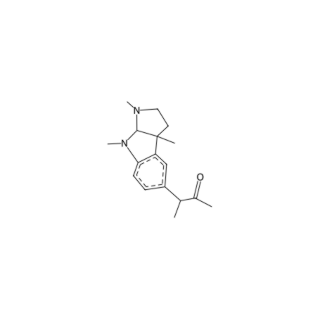 CC(=O)C(C)c1ccc2c(c1)C1(C)CCN(C)C1N2C